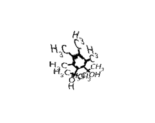 Cc1c(C)c(C)c(C(C)(C)O)c(C(C)(C)O)c1C